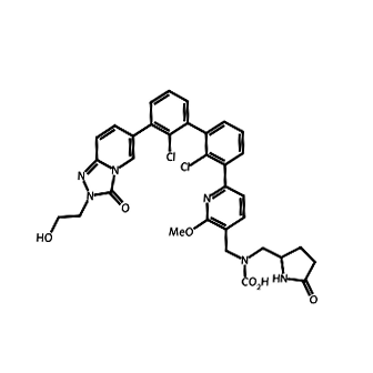 COc1nc(-c2cccc(-c3cccc(-c4ccc5nn(CCO)c(=O)n5c4)c3Cl)c2Cl)ccc1CN(CC1CCC(=O)N1)C(=O)O